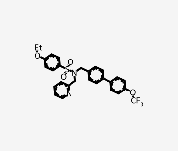 CCOc1ccc(S(=O)(=O)N(Cc2ccc(-c3ccc(OC(F)(F)F)cc3)cc2)Cc2ccccn2)cc1